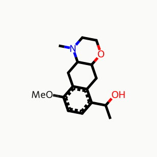 COc1ccc(C(C)O)c2c1CC1C(C2)OCCN1C